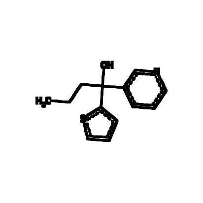 CCCC(O)(c1cccnc1)c1cccs1